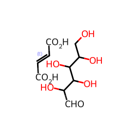 O=C(O)/C=C/C(=O)O.O=CC(O)C(O)C(O)C(O)CO